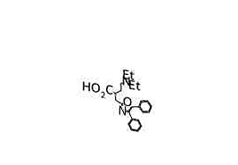 CCN(CC)CCC(Cc1nc(-c2ccccc2)c(-c2ccccc2)o1)C(=O)O